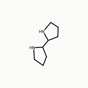 C1CNC(C2CCCN2)C1